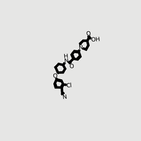 N#Cc1ccc(OC2CCC(NC(=O)c3ccc(N4CCC(C(=O)O)CC4)cc3)CC2)cc1Cl